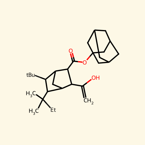 C=C(O)C1C2CC(C1C(=O)OC13CC4CC(CC(C4)C1)C3)C(C(C)(C)C)C2C(C)(C)CC